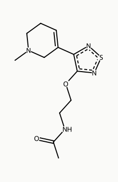 CC(=O)NCCOc1nsnc1C1=CCCN(C)C1